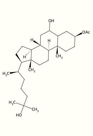 CC(=O)O[C@H]1CC[C@@]2(C)C(C1)C(O)C[C@H]1[C@@H]3CC[C@H]([C@H](C)CCCC(C)(C)O)[C@@]3(C)CC[C@@H]12